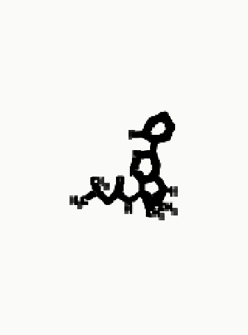 CN(C)CC(=O)N[C@@]12CC[C@@H](c3cc(-c4ccccc4F)nnc31)S2(C)C